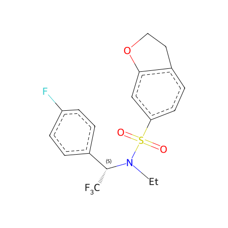 CCN([C@@H](c1ccc(F)cc1)C(F)(F)F)S(=O)(=O)c1ccc2c(c1)OCC2